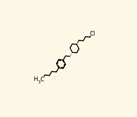 CCCCCc1ccc(CC[C@H]2CC[C@H](CCCCCl)CC2)cc1